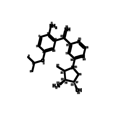 CC(C)Oc1ccc(N)c(C(=N)c2cc(N3C[C@H](O)[C@@H](N)C3C)ncn2)c1